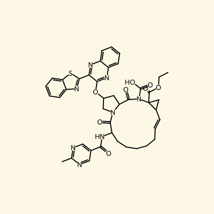 CCOC(=O)C12CC1/C=C/CCCCCC(NC(=O)c1cnc(C)nc1)C(=O)N1CC(Oc3nc4ccccc4nc3-c3nc4ccccc4s3)CC1C(=O)N2C(=O)O